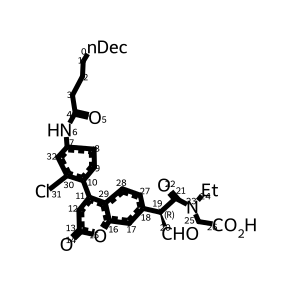 CCCCCCCCCCCCCC(=O)Nc1ccc(-c2cc(=O)oc3cc([C@H](C=O)C(=O)N(CC)CC(=O)O)ccc23)c(Cl)c1